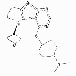 CN(C)C1CCC(Oc2ncnc3sc4c(c23)[C@@H](C2COC2)CC4)CC1